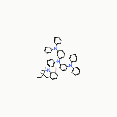 CCC1(C)Cc2cccc3c2N(c2cccc4c2B3c2ccc(N(c3ccccc3)c3ccccc3)cc2N4c2cccc(N(c3ccccc3)c3ccccc3)c2)C1(C)C